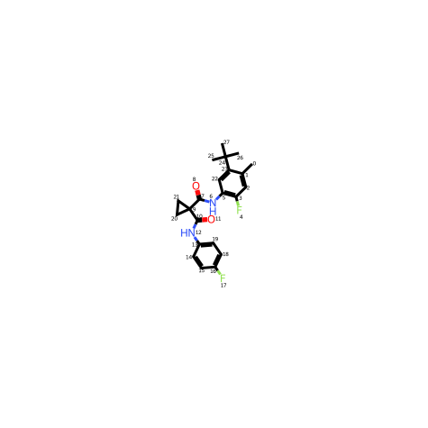 Cc1cc(F)c(NC(=O)C2(C(=O)Nc3ccc(F)cc3)CC2)cc1C(C)(C)C